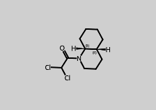 O=C(C(Cl)Cl)N1CCC[C@H]2CCCC[C@H]21